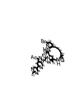 CC(=O)c1nn(CC(=O)N2[C@H]3CC4(CNC(=O)C(C)(C)CCCCc5ccc(Br)nc5NC3=O)C[C@@H]24)c2cnc(-c3cnc(C)nc3)cc12